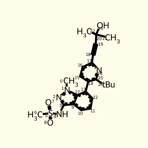 Cn1nc(NS(C)(=O)=O)c2cccc(-c3ccc(C#CC(C)(C)O)nc3C(C)(C)C)c21